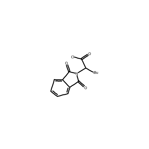 CCC(C)C(C(=O)Cl)N1C(=O)c2ccccc2C1=O